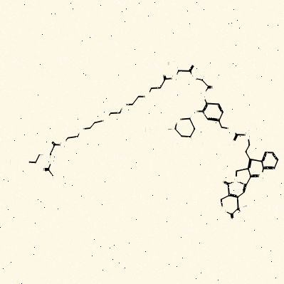 CCCC(=O)N[C@@H](CCC(=O)O)C(=O)NCCOCCOCCOCCOCCC(=O)N[C@H](C(=O)N[C@@H](C)C(=O)Nc1ccc(COC(=O)N(CCc2c3c(nc4ccccc24)-c2cc4c(c(=O)n2C3)COC(=O)[C@]4(O)CC)C(C)C)cc1O[C@@H]1O[C@H](C(=O)O)[C@@H](O)[C@H](O)[C@H]1O)C(C)C